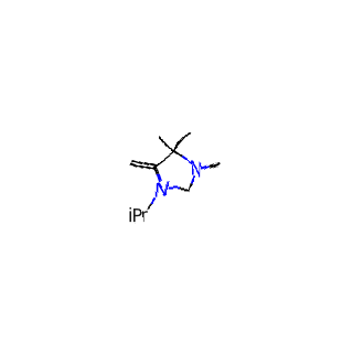 C=C1N(C(C)C)CN(C)C1(C)C